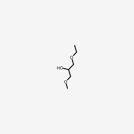 [CH2]COCC(O)COC